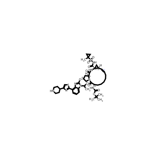 CC(C)n1c(O[C@@H]2C[C@H]3C(=O)N[C@]4(C(=O)NS(=O)(=O)C5(C)CC5)C[C@H]4/C=C\CCCCC[C@H](NC(=O)OC(C)(C)C)C(=O)N3C2)nc2c(-c3nc(C4CCNCC4)cs3)cccc21